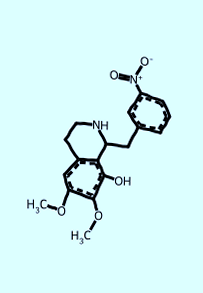 COc1cc2c(c(O)c1OC)C(Cc1cccc([N+](=O)[O-])c1)NCC2